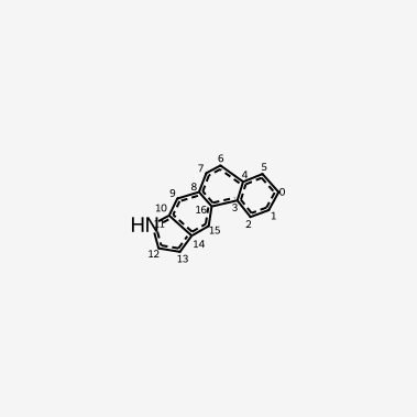 c1ccc2c(c1)ccc1cc3[nH]ccc3cc12